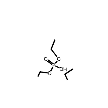 CCC.CCOP(=O)(O)OCC